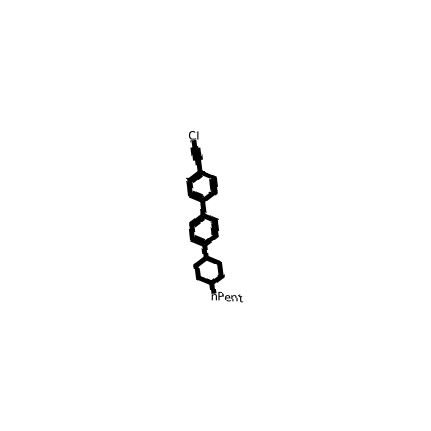 CCCCCC1CCC(c2ccc(-c3ccc(C#CCl)cc3)cc2)CC1